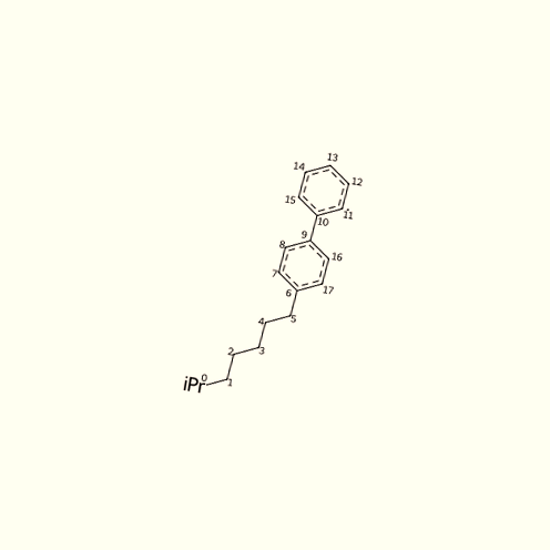 CC(C)CCCCCc1ccc(-c2[c]cccc2)cc1